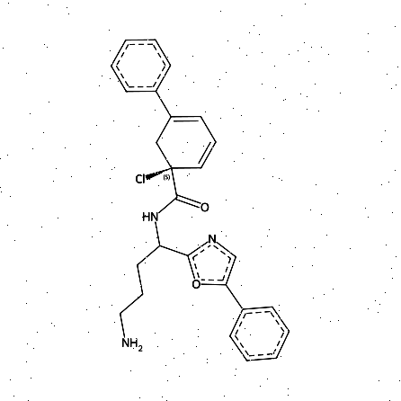 NCCCC(NC(=O)[C@@]1(Cl)C=CC=C(c2ccccc2)C1)c1ncc(-c2ccccc2)o1